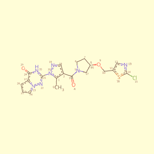 Cc1c(C(=O)N2CC[C@@H](OCc3cnc(Cl)s3)C2)cnn1-c1nn2cccc2c(=O)[nH]1